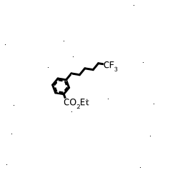 CCOC(=O)c1cccc(CCCCCC(F)(F)F)c1